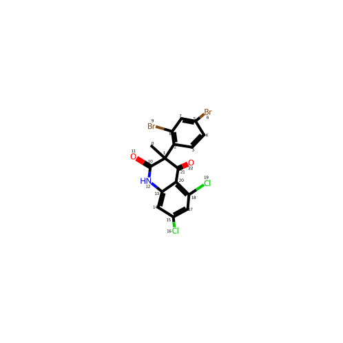 CC1(c2ccc(Br)cc2Br)C(=O)Nc2cc(Cl)cc(Cl)c2C1=O